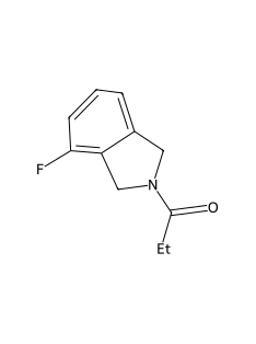 CCC(=O)N1Cc2cccc(F)c2C1